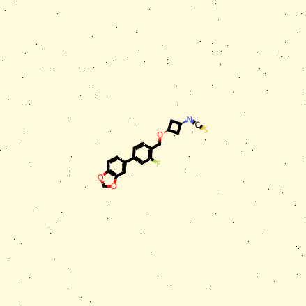 Fc1cc(-c2ccc3c(c2)OCO3)ccc1CO[C@H]1C[C@H](N=C=S)C1